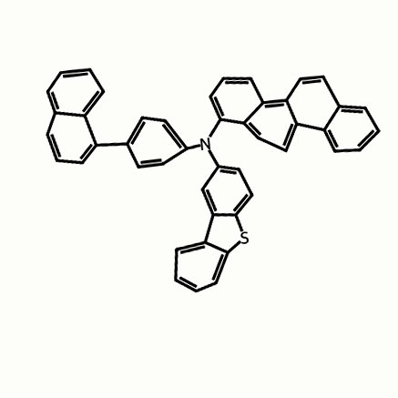 c1ccc2c(-c3ccc(N(c4ccc5sc6ccccc6c5c4)c4cccc5c4ccc4c6ccccc6ccc54)cc3)cccc2c1